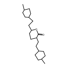 CC1CCC(CCC2CCC(CCC3CCC(C)CC3)C(=O)O2)CC1